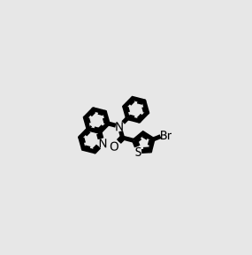 O=C(c1cc(Br)cs1)N(c1ccccc1)c1cccc2cccnc12